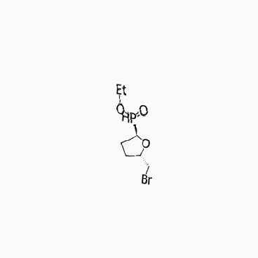 CCO[PH](=O)[C@@H]1CC[C@@H](CBr)O1